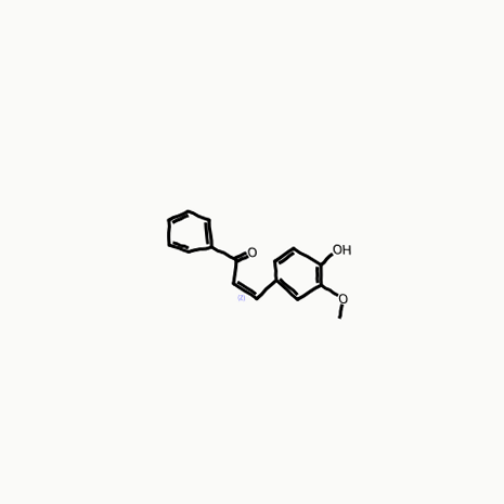 COc1cc(/C=C\C(=O)c2ccccc2)ccc1O